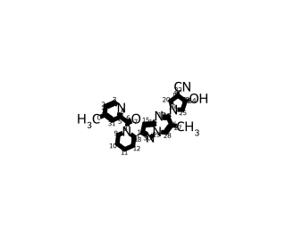 Cc1ccnc(C(=O)N2CCCC[C@H]2c2cc3nc(N4C[C@@H](C#N)[C@@H](O)C4)c(C)cn3n2)c1